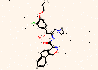 CCCOc1ccc([C@@H](O)[C@@H](CN2CCC2)NC(=O)C2=NOCc3c2ccc2ccccc32)cc1Cl